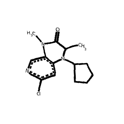 CC1C(=O)N(C)c2cnc(Cl)cc2N1C1CCCC1